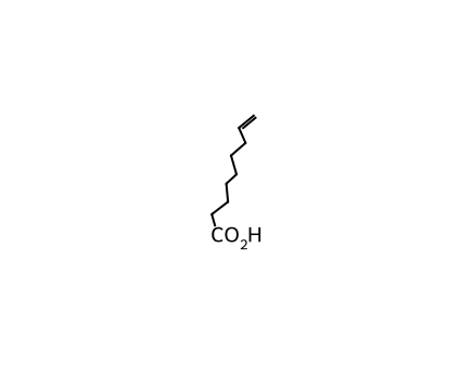 C=CCCCCCCC(=O)O